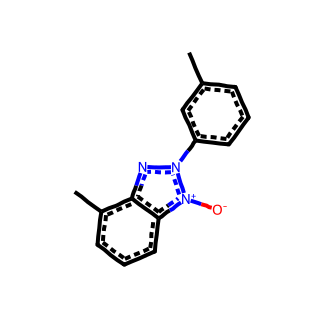 Cc1cccc(-n2nc3c(C)cccc3[n+]2[O-])c1